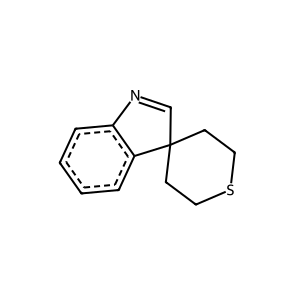 C1=Nc2ccccc2C12CCSCC2